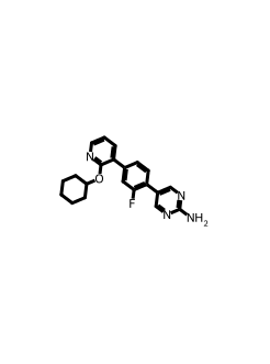 Nc1ncc(-c2ccc(-c3cccnc3OC3CCCCC3)cc2F)cn1